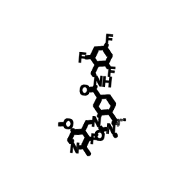 COc1cnc(C)c(F)c1CN1C(=O)N(C)[C@@H](C)c2ccc(C(=O)NCc3c(F)cc(F)cc3F)cc21